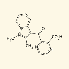 Cc1c(C(=O)c2nccnc2C(=O)O)c2ccccc2n1C